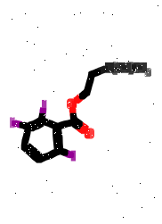 CN(O)CCOC(=O)c1c(I)ccc(I)c1I